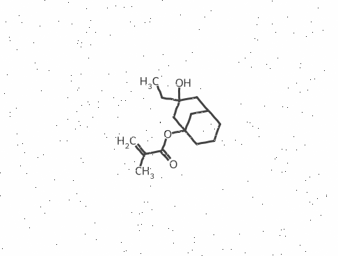 C=C(C)C(=O)OC12CCCC(CC(O)(CC)C1)C2